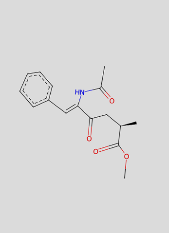 COC(=O)[C@H](C)CC(=O)/C(=C/c1ccccc1)NC(C)=O